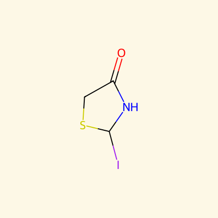 O=C1CSC(I)N1